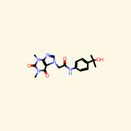 Cn1c(=O)c2c(ncn2CC(=O)Nc2ccc(C(C)(C)O)cc2)n(C)c1=O